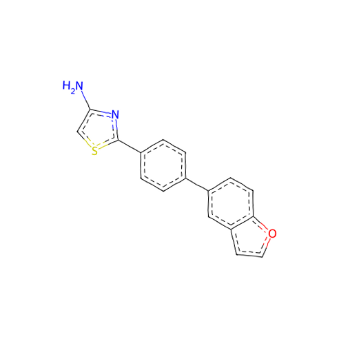 Nc1csc(-c2ccc(-c3ccc4occc4c3)cc2)n1